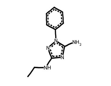 CCNc1nc(N)n(-c2ccccc2)n1